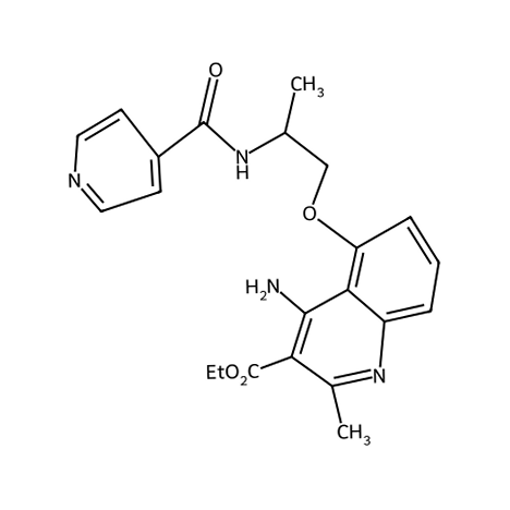 CCOC(=O)c1c(C)nc2cccc(OCC(C)NC(=O)c3ccncc3)c2c1N